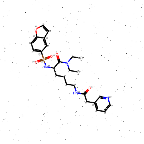 CC(C)CN(CC(C)C)C(=O)C(CCCCNC(=O)Cc1cccnc1)NS(=O)(=O)c1ccc2occc2c1